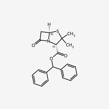 CC1(C)S[C@@H]2CC(=O)N2[C@H]1C(=O)OC(c1ccccc1)c1ccccc1